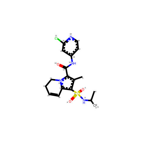 Cc1c(S(=O)(=O)NC(C)C(F)(F)F)c2n(c1C(=O)Nc1ccnc(Cl)c1)CCC=C2